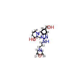 CC1=CCC(O)C(Cn2c(NCCCN3C[C@@H](C)O[C@@H](C)C3)nc3cc(CO)ccc32)=N1